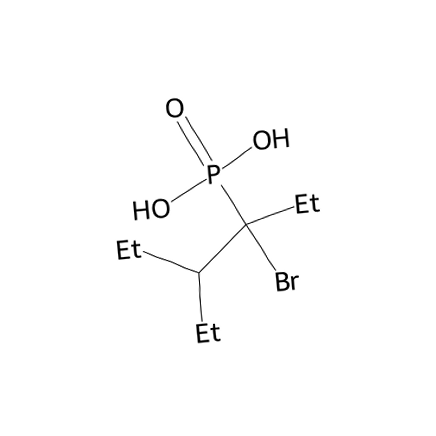 CCC(CC)C(Br)(CC)P(=O)(O)O